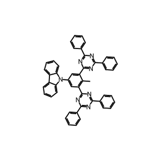 Cc1c(-c2nc(-c3ccccc3)nc(-c3ccccc3)n2)cc(-n2c3ccccc3c3ccccc32)cc1-c1nc(-c2ccccc2)nc(-c2ccccc2)n1